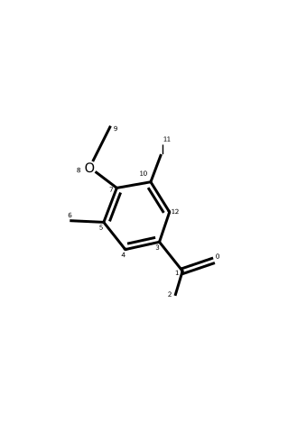 C=C(C)c1cc(C)c(OC)c(I)c1